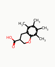 Cc1c(C)c(C)c2c(c1C)CC(C(=O)O)CO2